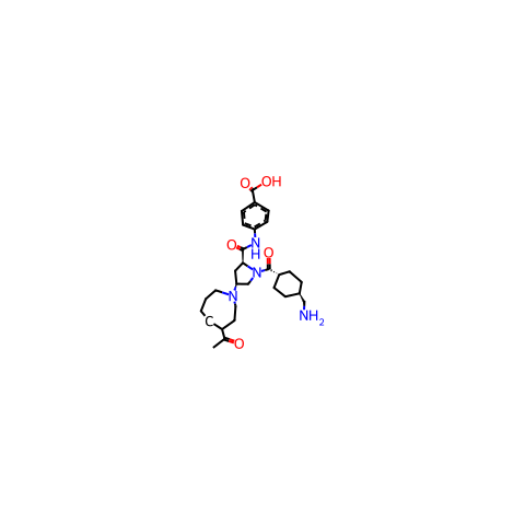 CC(=O)C1CCCCN([C@H]2C[C@@H](C(=O)Nc3ccc(C(=O)O)cc3)N(C(=O)[C@H]3CC[C@H](CN)CC3)C2)CC1